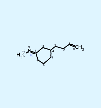 C=CCCC1CCC/C(=N\C)C1